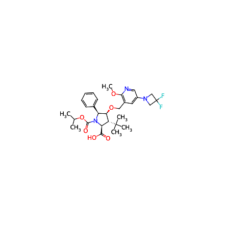 COc1ncc(N2CC(F)(F)C2)cc1CO[C@H]1[C@H](C(C)(C)C)[C@@H](C(=O)O)N(C(=O)OC(C)C)[C@H]1c1ccccc1